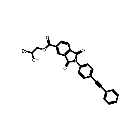 CCC(O)COC(=O)c1ccc2c(c1)C(=O)N(c1ccc(C#Cc3ccccc3)cc1)C2=O